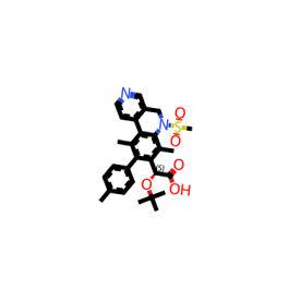 Cc1ccc(-c2c(C)c3c(c(C)c2[C@H](OC(C)(C)C)C(=O)O)N(S(C)(=O)=O)Cc2cnccc2-3)cc1